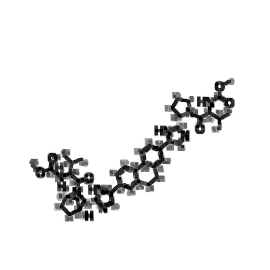 COC(=O)N[C@H](C(=O)N1CCC[C@H]1c1ncc(-c2ccc3c(c2)CCc2cc(-c4cnc([C@@H]5[C@H]6CC[C@H](C6)N5C(=O)[C@@H](NC(=O)OC)C(C)C)[nH]4)ccc2-3)[nH]1)C(C)C